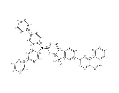 CC1(C)c2cc(-c3ccc4ccc5ccccc5c4c3)ccc2-c2ccc(-n3c4ccc(-c5ccccc5)cc4c4cc(-c5ccccc5)ccc43)cc21